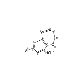 Brc1ccc2c(c1)C=NCCO2.Cl